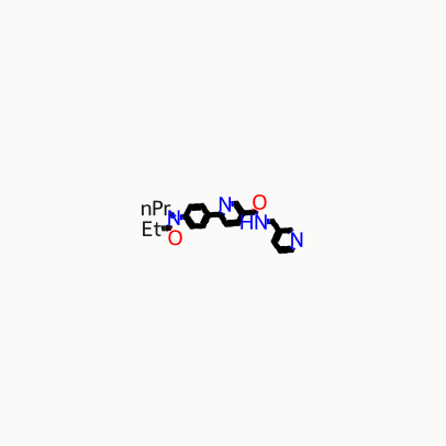 CCCN(C(=O)CC)c1ccc(-c2ccc(C(=O)NCc3cccnc3)cn2)cc1